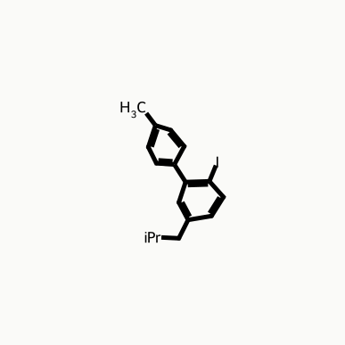 Cc1ccc(-c2cc(CC(C)C)ccc2I)cc1